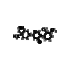 CC1(CN)CCN(c2cc(=O)n(-c3cccc(C(F)(F)F)c3Cl)cn2)CC1